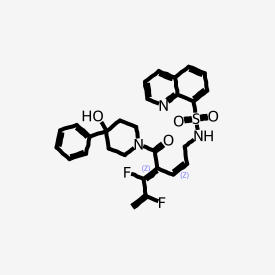 C=C(F)/C(F)=C(\C=C/CNS(=O)(=O)c1cccc2cccnc12)C(=O)N1CCC(O)(c2ccccc2)CC1